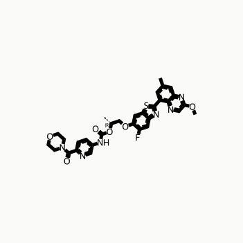 COc1cnc2c(-c3nc4cc(F)c(OC[C@@H](C)OC(=O)Nc5ccc(C(=O)N6CCOCC6)nc5)cc4s3)cc(C)cc2n1